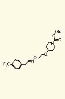 CC(C)(C)OC(=O)N1CCC(OCCON=CCc2ccc(C(F)(F)F)cc2)CC1